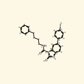 O=C(NCCCCc1ccccc1)n1c(=O)oc2ccc(-c3ccc(F)cc3)cc21